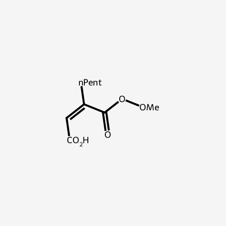 CCCCCC(=CC(=O)O)C(=O)OOC